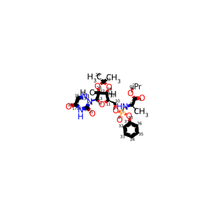 CC(C)OC(=O)[C@H](C)N[P@](=O)(OC[C@H]1O[C@@H](n2ncc(=O)[nH]c2=O)C2(C)OC(C)(C)O[C@@H]12)Oc1ccccc1